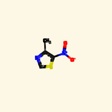 Cc1ncsc1[N+](=O)[O-]